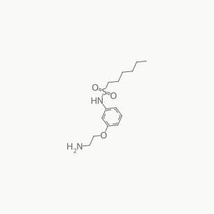 CCCCCCS(=O)(=O)Nc1cccc(OCCN)c1